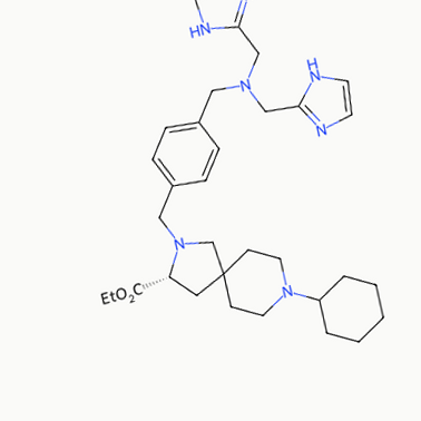 CCOC(=O)[C@H]1CC2(CCN(C3CCCCC3)CC2)CN1Cc1ccc(CN(Cc2ncc[nH]2)Cc2ncc[nH]2)cc1